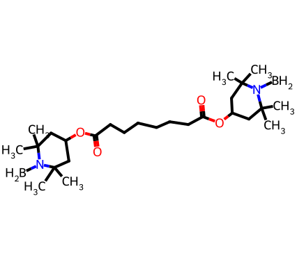 BN1C(C)(C)CC(OC(=O)CCCCCCC(=O)OC2CC(C)(C)N(B)C(C)(C)C2)CC1(C)C